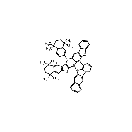 CC1(C)CCC(C)(C)c2cc(N3c4cc5c(oc6ccccc65)c5c4B(c4sc6cc7c(cc6c43)C(C)(C)CCC7(C)C)n3c4cc6ccccc6cc4c4cccc-5c43)ccc21